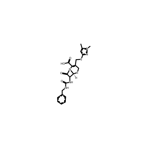 Cc1cc(SCC2=C(C(=O)O)N3C(=O)C(NC(=O)NCc4ccccc4)[C@@H]3SC2)nn1C